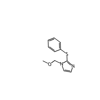 COCn1ccnc1Sc1ccccc1